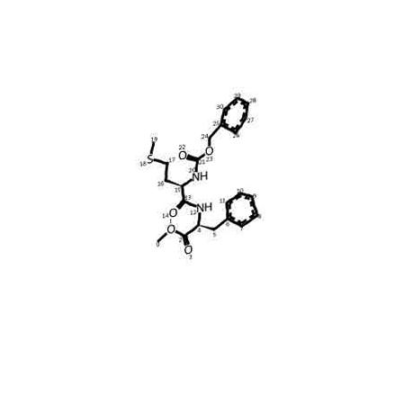 COC(=O)[C@H](Cc1ccccc1)NC(=O)[C@@H](CCSC)NC(=O)OCc1ccccc1